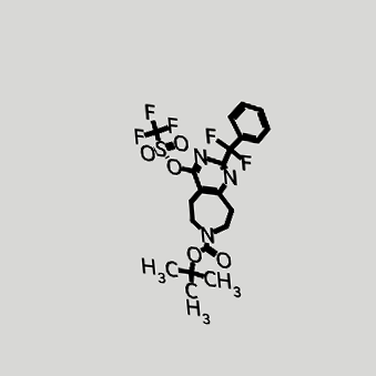 CC(C)(C)OC(=O)N1CCc2nc(C(F)(F)c3ccccc3)nc(OS(=O)(=O)C(F)(F)F)c2CC1